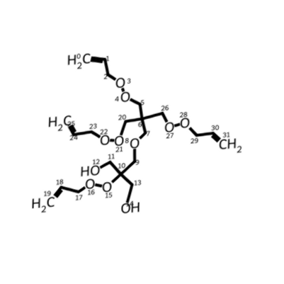 C=CCOOCC(COCC(CO)(CO)OOCC=C)(COOCC=C)COOCC=C